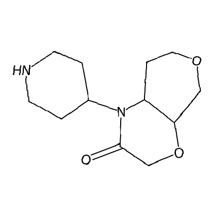 O=C1COC2COCCC2N1C1CCNCC1